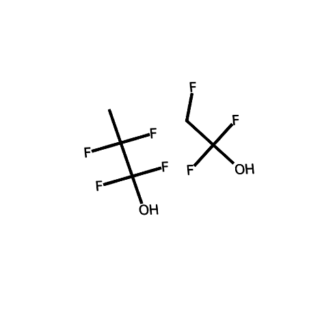 CC(F)(F)C(O)(F)F.OC(F)(F)CF